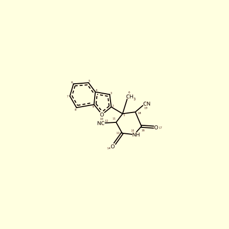 CC1(c2cc3ccccc3o2)C(C#N)C(=O)NC(=O)C1C#N